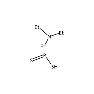 CCN(CC)CC.S=PS